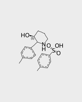 Cc1ccc(C2NCCC[C@@H]2O)cc1.Cc1ccc(S(=O)(=O)O)cc1